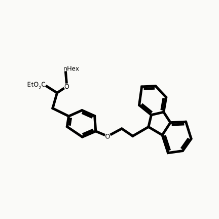 CCCCCCOC(Cc1ccc(OCCC2c3ccccc3-c3ccccc32)cc1)C(=O)OCC